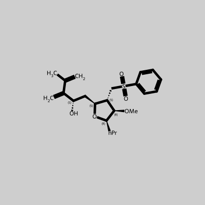 C=C(C)C(=C)[C@@H](O)C[C@@H]1O[C@H](CCC)[C@H](OC)[C@H]1CS(=O)(=O)c1ccccc1